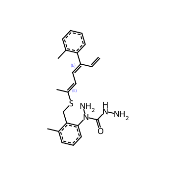 C=C/C(=C\C=C(/C)SCc1c(C)cccc1N(N)C(=O)NN)c1ccccc1C